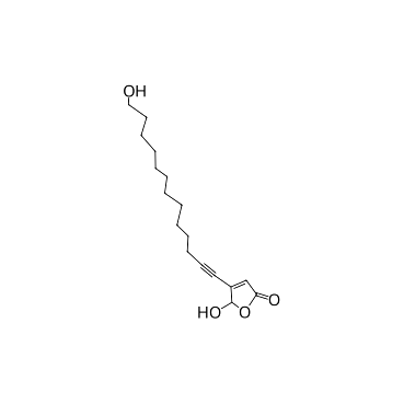 O=C1C=C(C#CCCCCCCCCCCCO)C(O)O1